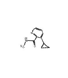 CNC(=O)c1ncccc1C1CC1